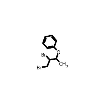 CC(Oc1ccccc1)C(Br)CBr